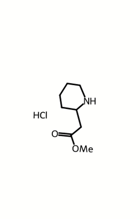 COC(=O)CC1CCCCN1.Cl